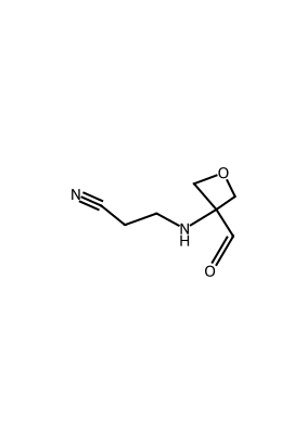 N#CCCNC1(C=O)COC1